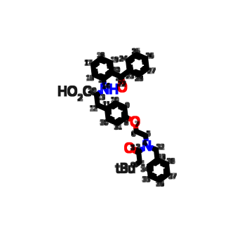 CC(C)(C)CC(=O)N(CCOc1ccc(C[C@H](Nc2ccccc2C(=O)c2ccccc2)C(=O)O)cc1)Cc1ccccc1